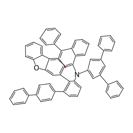 c1ccc(-c2ccc(-c3cccc(N(c4cc(-c5ccccc5)cc(-c5ccccc5)c4)c4ccc(-c5ccccc5)c5ccccc45)c3-c3ccc4c(c3)oc3ccccc34)cc2)cc1